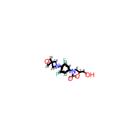 O=C1OC(CO)CN1c1cc(F)c(N2CC3(COC3)C2)c(F)c1